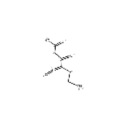 CCCC(=C=O)C(=O)CC(=O)O